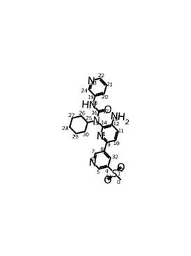 CS(=O)(=O)c1cncc(-c2ccc(N)c(N(C(=O)Nc3cccnc3)C3CCCCC3)n2)c1